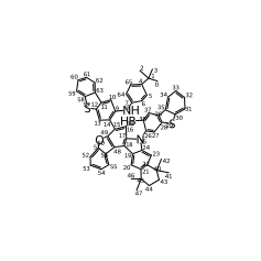 CC(C)(C)c1ccc(Nc2cc3c(cc2-c2c4c5c(c6cc7c(cc6n5-c5cc6sc8ccccc8c6cc5B4)C(C)(C)CCC7(C)C)c4c2oc2ccccc24)sc2ccccc23)cc1